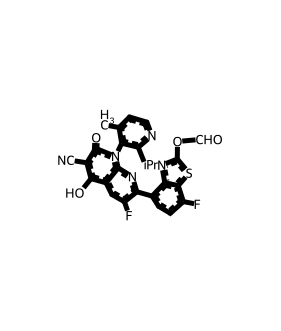 Cc1ccnc(C(C)C)c1-n1c(=O)c(C#N)c(O)c2cc(F)c(-c3ccc(F)c4sc(OC=O)nc34)nc21